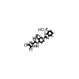 CCc1[nH]c(C(=O)NC2CCN(c3nc4cccc(C(=O)O)c4s3)CC2NC(C)C)nc1Cl